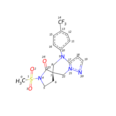 CS(=O)(=O)N1CC[C@]2(CN(c3ccc(C(F)(F)F)cc3)c3ccnn3C2)C1=O